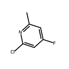 Cc1cc(F)cc(Cl)n1